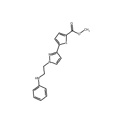 COC(=O)c1ccc(-c2ccn(CCNc3ccccc3)n2)s1